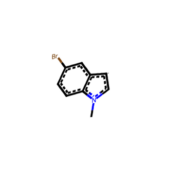 Cn1c[c]c2cc(Br)ccc21